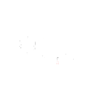 CCCC(=O)O[C@H](C)c1ccccc1Br